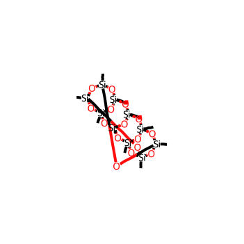 C[Si]12O[Si]3(C)O[Si]4(C)O[Si](C)(O1)O[Si]1(C)O[Si](C)(O4)O[Si]4(C)O[Si](C)(O[Si](C)(O[Si](C)(O3)O4)O2)O1